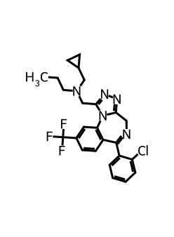 CCCN(Cc1nnc2n1-c1cc(C(F)(F)F)ccc1C(c1ccccc1Cl)=NC2)CC1CC1